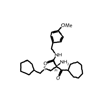 COc1ccc(CNC(=O)[C@@](N)(CSCC2CCCCC2)C(=O)C2CCCCCC2)cc1